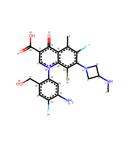 CNC1CN(c2c(F)c(C)c3c(=O)c(C(=O)O)cn(-c4cc(N)c(F)cc4CO)c3c2Br)C1